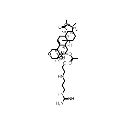 CC(=O)O[C@@H]1C[C@@]23COC[C@@](C)([C@@H]2CC[C@H]2C3=CC[C@@]3(C)[C@H](C(=O)O)[C@@](C)([C@H](C)C(C)C)CC[C@]23C)[C@H]1OCCNCCCNC(=N)N